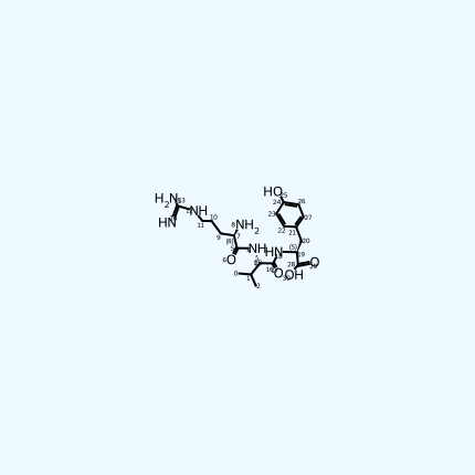 CC(C)[C@H](NC(=O)[C@H](N)CCCNC(=N)N)C(=O)N[C@@H](Cc1ccc(O)cc1)C(=O)O